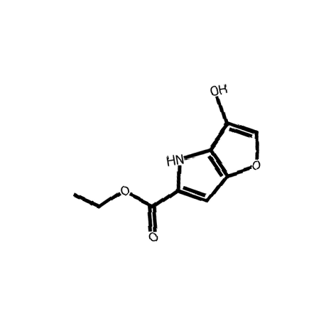 CCOC(=O)c1cc2occ(O)c2[nH]1